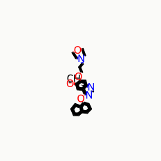 COc1cc2c(Oc3cccc4ccccc34)ncnc2cc1OCCCN1CCOCC1